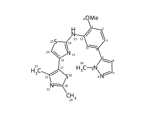 COc1ccc(-c2ccnn2C)cc1Nc1nc(-c2sc(C)nc2C)cs1